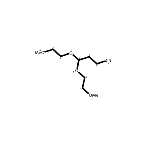 COCCOC(CCC#N)OCCOC